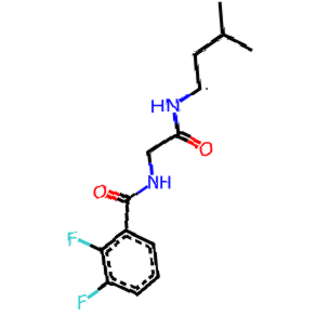 CC(C)C[CH]NC(=O)CNC(=O)c1cccc(F)c1F